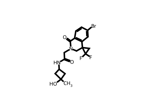 CC1(O)CC(NC(=O)CN2CC3(CC3(F)F)c3cc(Br)ccc3C2=O)C1